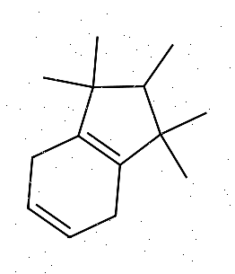 CC1C(C)(C)C2=C(CC=CC2)C1(C)C